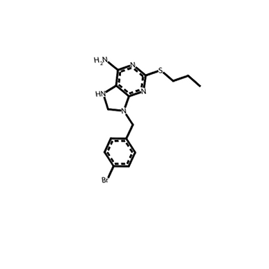 CCCSc1nc(N)c2c(n1)N(Cc1ccc(Br)cc1)CN2